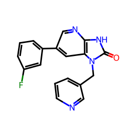 O=c1[nH]c2ncc(-c3cccc(F)c3)cc2n1Cc1cccnc1